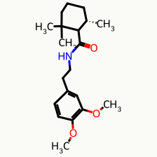 COc1ccc(CCNC(=O)C2[C@@H](C)CCCC2(C)C)cc1OC